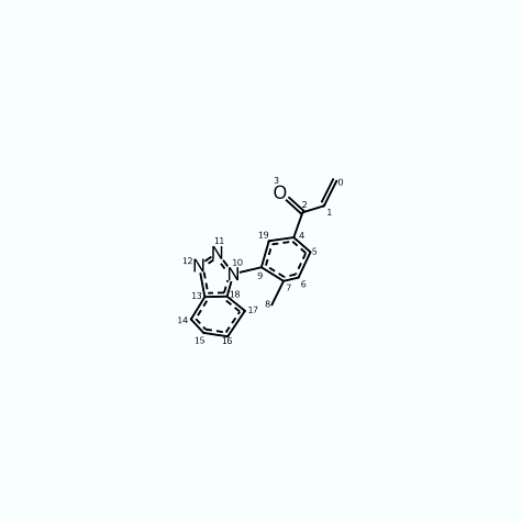 C=CC(=O)c1ccc(C)c(-n2nnc3ccccc32)c1